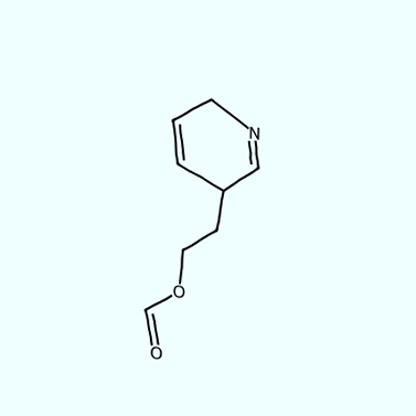 O=COCCC1C=CCN=C1